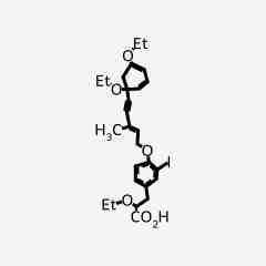 CCOC1=CC=CC(C#CC(C)=CCOc2ccc(C[C@H](OCC)C(=O)O)cc2I)(OCC)C1